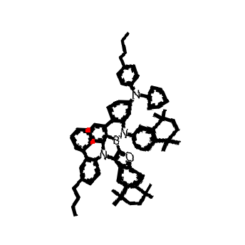 CCCCc1ccc(N(c2ccccc2)c2ccc3c(c2)N(c2ccc4c(c2)C(C)(C)CCC4(C)C)B2c4oc5cc6c(cc5c4N(c4ccc(CCCC)cc4-c4ccccc4)c4cccc-3c42)C(C)(C)CCC6(C)C)cc1